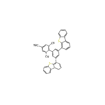 N#Cc1cc(C#N)c(-c2cc(-c3cccc4c3sc3ccccc34)cc(-c3cccc4c3sc3ccccc34)c2)c(C#N)c1